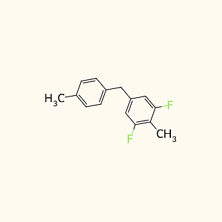 Cc1ccc(Cc2cc(F)c(C)c(F)c2)cc1